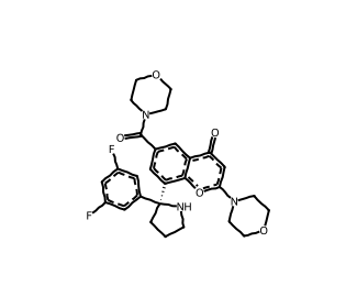 O=C(c1cc([C@@]2(c3cc(F)cc(F)c3)CCCN2)c2oc(N3CCOCC3)cc(=O)c2c1)N1CCOCC1